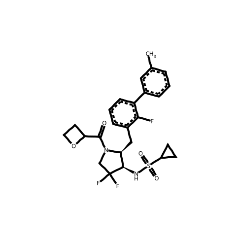 Cc1cccc(-c2cccc(C[C@H]3[C@@H](NS(=O)(=O)C4CC4)C(F)(F)CN3C(=O)C3CCO3)c2F)c1